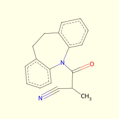 CC(C#N)C(=O)N1c2ccccc2CCc2ccccc21